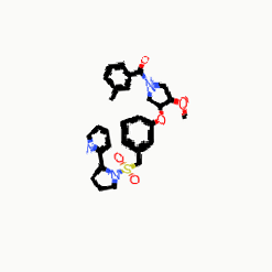 COC1CN(C(=O)c2cccc(C)c2)CC1Oc1cccc(CS(=O)(=O)N2CCCC2c2ccccn2)c1